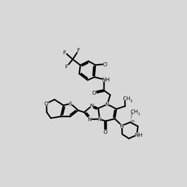 CCc1c(N2CCNC[C@H]2C)c(=O)n2nc(-c3cc4c(s3)COCC4)nc2n1CC(=O)Nc1ccc(C(F)(F)F)cc1Cl